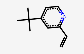 C=Cc1cc(C(C)(C)C)ccn1